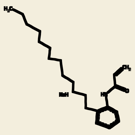 C=CC(=O)Nc1ccccc1CCCCCCCCCCCCC.[NaH]